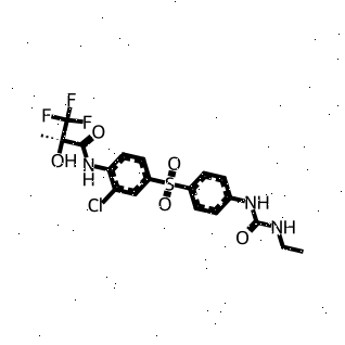 CCNC(=O)Nc1ccc(S(=O)(=O)c2ccc(NC(=O)[C@@](C)(O)C(F)(F)F)c(Cl)c2)cc1